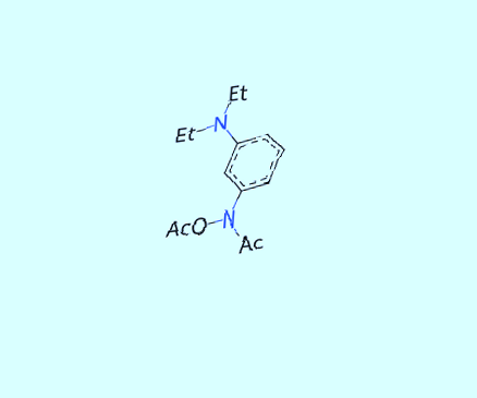 CCN(CC)c1cccc(N(OC(C)=O)C(C)=O)c1